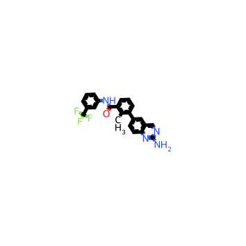 Cc1c(C(=O)Nc2cccc(C(F)(F)F)c2)cccc1-c1ccc2nc(N)ncc2c1